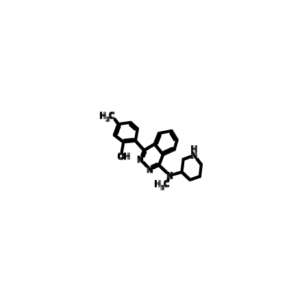 Cc1ccc(-c2nnc(N(C)C3CCCNC3)c3ccccc23)c(O)c1